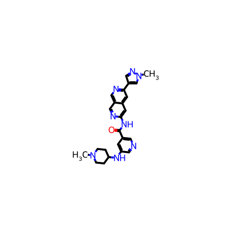 CN1CCC(Nc2cncc(C(=O)Nc3cc4cc(-c5cnn(C)c5)ncc4cn3)c2)CC1